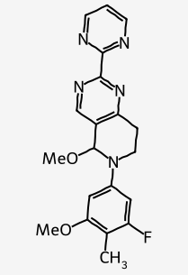 COc1cc(N2CCc3nc(-c4ncccn4)ncc3C2OC)cc(F)c1C